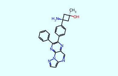 C[C@]1(O)C[C@](N)(c2ccc(-c3nc4cnc5ccnn5c4nc3-c3ccccc3)cc2)C1